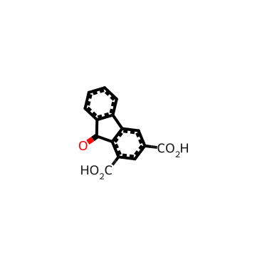 O=C(O)c1cc(C(=O)O)c2c(c1)-c1ccccc1C2=O